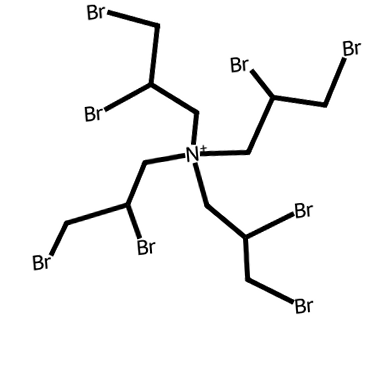 BrCC(Br)C[N+](CC(Br)CBr)(CC(Br)CBr)CC(Br)CBr